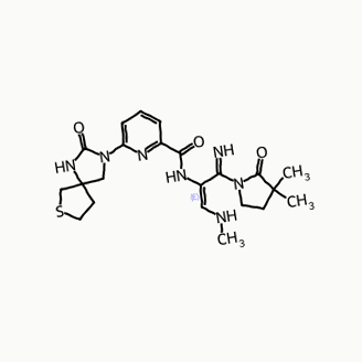 CN/C=C(/NC(=O)c1cccc(N2CC3(CCSC3)NC2=O)n1)C(=N)N1CCC(C)(C)C1=O